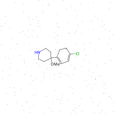 COC1(C2=CC=C(Cl)CC2)CCNCC1